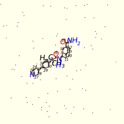 CC(C)(C(=O)NC1C2CC3CC1CC(C(N)=O)(C3)C2)c1ccc(-c2ccncc2)cc1